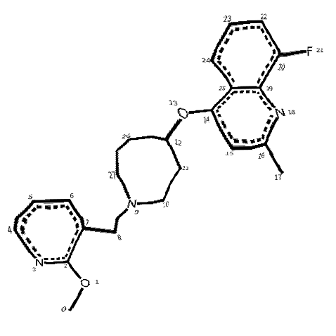 COc1ncccc1CN1CCC(Oc2cc(C)nc3c(F)cccc23)CC1